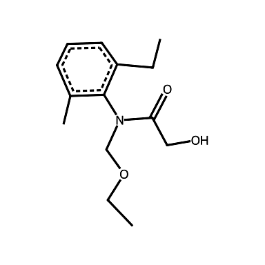 CCOCN(C(=O)CO)c1c(C)cccc1CC